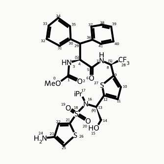 COC(=O)N[C@H](C(=O)N[C@H](c1ccc([C@@H](CO)N(C(C)C)S(=O)(=O)c2cc(N)cs2)s1)C(F)(F)F)C(c1ccccc1)c1ccccc1